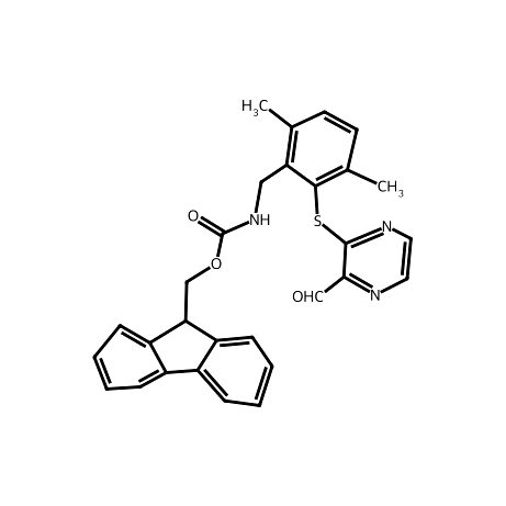 Cc1ccc(C)c(Sc2nccnc2C=O)c1CNC(=O)OCC1c2ccccc2-c2ccccc21